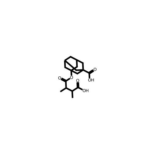 CC(C(=O)O)C(C)C(=O)OC12CC3CC(C1)CC(C(=O)O)(C3)C2